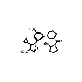 CCCCC1CCCN1C(=O)[C@@H]1CCC[C@H](c2cc(N)cc(-n3ncc(C(=O)O)c3C3CC3)c2)C1